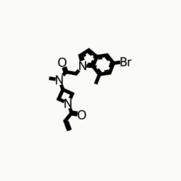 C=CC(=O)N1CC(N(C)C(=O)Cn2ccc3cc(Br)cc(C)c32)C1